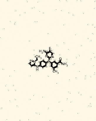 CCn1nccc1Nc1ccc(N(c2cc(C)cc(C(N)=O)c2)c2ncc(F)c(N)n2)cc1